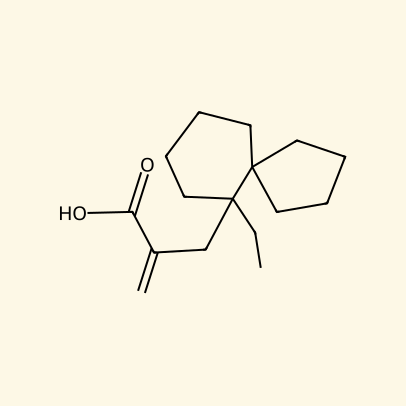 C=C(CC1(CC)CCCCC12CCCC2)C(=O)O